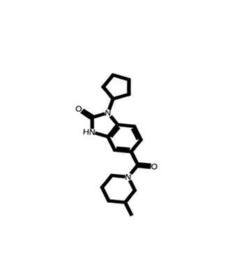 CC1CCCN(C(=O)c2ccc3c(c2)[nH]c(=O)n3C2CCCC2)C1